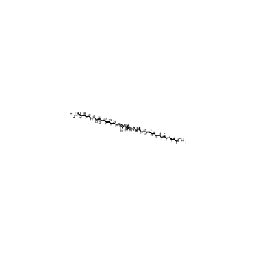 CCCCCCCCCCCCCCCCCC[NH][Mo][S][S][Mo][NH]CCCCCCCCCCCCCCCCCC